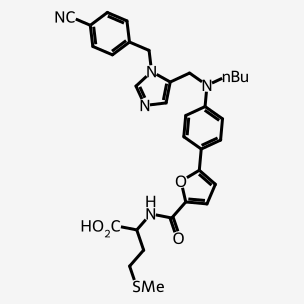 CCCCN(Cc1cncn1Cc1ccc(C#N)cc1)c1ccc(-c2ccc(C(=O)NC(CCSC)C(=O)O)o2)cc1